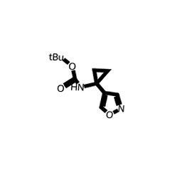 CC(C)(C)OC(=O)NC1(c2cnoc2)CC1